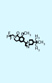 COc1cc(-c2cnc3cc(C(C)(C)C)ccn23)cc2c1C(=O)N(CC(F)(F)F)CC2